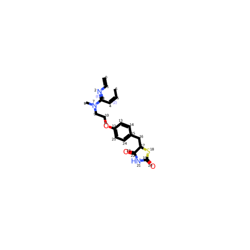 C=C/N=C(\C=C/C)N(C)CCOc1ccc(CC2SC(=O)NC2=O)cc1